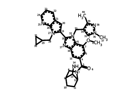 COc1cc(C(=O)N2CC3CCC2C3N)cc2nc(-c3cc4cccnc4n3CC3CC3)n(Cc3cn(C)nc3C)c12